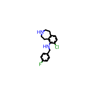 Fc1ccc(CNc2c(Cl)ccc3c2CCNCC3)cc1